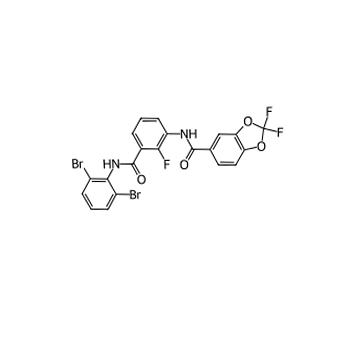 O=C(Nc1cccc(C(=O)Nc2c(Br)cccc2Br)c1F)c1ccc2c(c1)OC(F)(F)O2